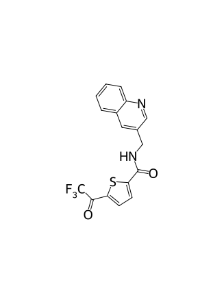 O=C(NCc1cnc2ccccc2c1)c1ccc(C(=O)C(F)(F)F)s1